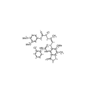 COc1ccc(OC(=O)C(Cl)CC(C)=CCc2c(NC(=O)Nc3ccccc3Cl)c3c(c(C)c2OC)COC3=O)cc1OC